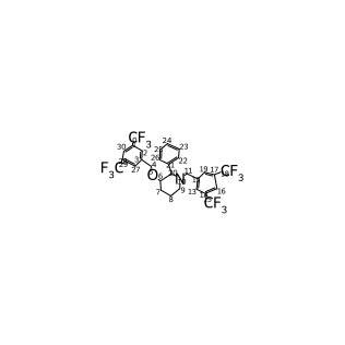 FC(F)(F)c1cc(COC2CCCN(Cc3cc(C(F)(F)F)cc(C(F)(F)F)c3)C2c2ccccc2)cc(C(F)(F)F)c1